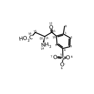 Cc1ccc(S([O])(=O)=O)cc1C(=O)[C@@H](N)CC(=O)O